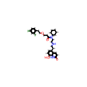 O=C(CCOCCc1ccc(F)cc1F)N(CCNCCc1ccc(O)c2[nH]c(=O)ccc12)C1CCCCC1